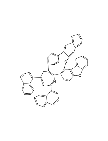 c1ccc2cc3c(cc2c1)c1ccc2cc1n3-c1c(ccc3oc4ccccc4c13)C1=C2CC(c2cccc3ccccc23)=NC(c2cccc3ccccc23)=N1